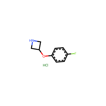 Cl.Fc1ccc(OC2CNC2)cc1